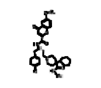 CCCCOc1ccc2oc(C(=O)N[C@H](CCN3CCC(C(=O)NC(C)(C)C)(C4CCCCC4)CC3)Cc3ccc(Cl)cc3)cc(=O)c2c1